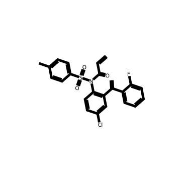 C=CC(=O)N(c1ccc(Cl)cc1C(=C)c1ccccc1F)S(=O)(=O)c1ccc(C)cc1